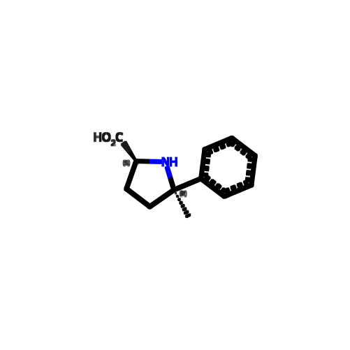 C[C@]1(c2ccccc2)CC[C@@H](C(=O)O)N1